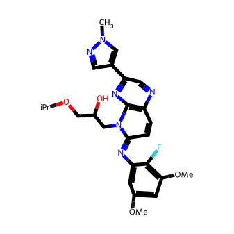 COc1cc(/N=c2\ccc3ncc(-c4cnn(C)c4)nc3n2CC(O)COC(C)C)c(F)c(OC)c1